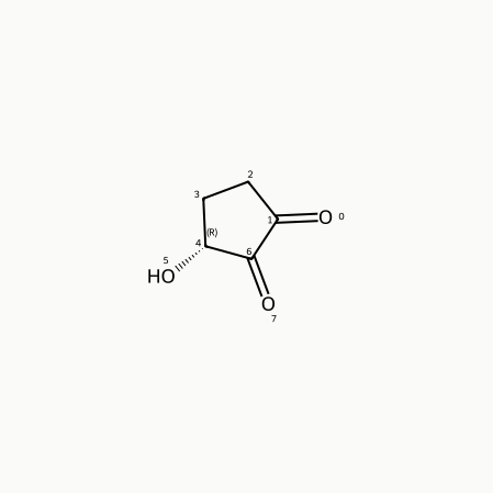 O=C1CC[C@@H](O)C1=O